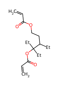 C=CC(=O)OCC[C](CC)C(CC)(CC)OC(=O)C=C